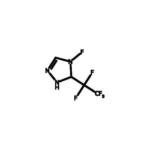 FN1C=NNC1C(F)(F)C(F)(F)F